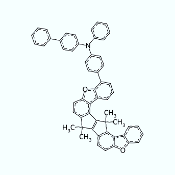 CC1(C)C2=C(c3c1ccc1oc4c(-c5ccc(N(c6ccccc6)c6ccc(-c7ccccc7)cc6)cc5)cccc4c31)C(C)(C)c1c2ccc2oc3ccccc3c12